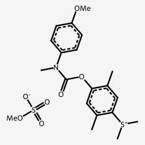 COS(=O)(=O)[O-].COc1ccc(N(C)C(=O)Oc2cc(C)c([S+](C)C)cc2C)cc1